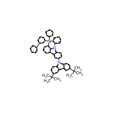 CC(C)(C)c1ccc2c(c1)c1cc(C(C)(C)C)ccc1n2-c1ccc2c(c1)c1cccc3c1n2-c1ccccc1[Si]3(c1ccccc1)c1cccc(-c2ccccc2)c1